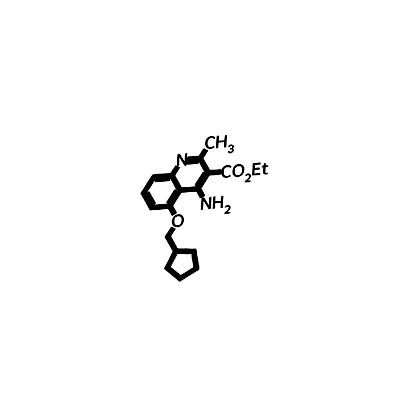 CCOC(=O)c1c(C)nc2cccc(OCC3CCCC3)c2c1N